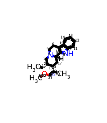 CC[C@@H]1CN2CCc3c([nH]c4ccccc34)[C@@H]2C[C@@H]1/C(C)=C\OC